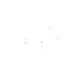 CC(C)C(=O)CNCl